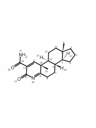 C[C@@]12CCC[C@H]1[C@@H]1CCC3=NC(=O)C(C(N)=O)=C[C@]3(C)[C@H]1CC2